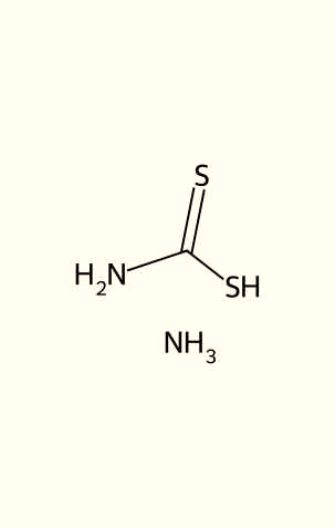 N.NC(=S)S